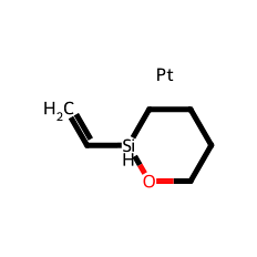 C=C[SiH]1CCCCO1.[Pt]